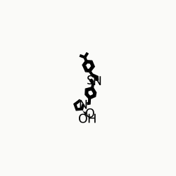 CC(C)c1ccc(-c2cnc(-c3ccc(CN4CCC[C@H]4C(=O)O)cc3)s2)cc1